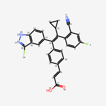 N#Cc1cc(F)ccc1C(=C(c1ccc(C=CC(=O)O)cc1)c1ccc2[nH]nc(F)c2c1)C1CC1